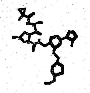 Cc1ncsc1-c1ccc(CNC(=O)[C@@H]2C[C@@H](O)CN2C(=O)[C@@H](NC(=O)C2(F)CC2)C(C)(C)C)c(OCc2ccc(CC=O)cc2)c1